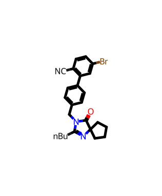 CCCCC1=NC2(CCCC2)C(=O)N1Cc1ccc(-c2cc(Br)ccc2C#N)cc1